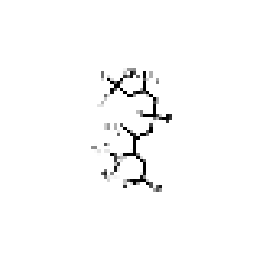 CN(C)C(CC(=O)N=O)C(CC(F)(F)CC(CC(F)(C(F)(F)F)C(F)(F)F)C(F)(F)F)S(=O)(=O)O